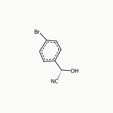 N#C[C@@H](O)c1ccc(Br)cc1